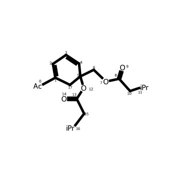 CC(=O)C1=CC=CC(COC(=O)CC(C)C)(OC(=O)CC(C)C)C1